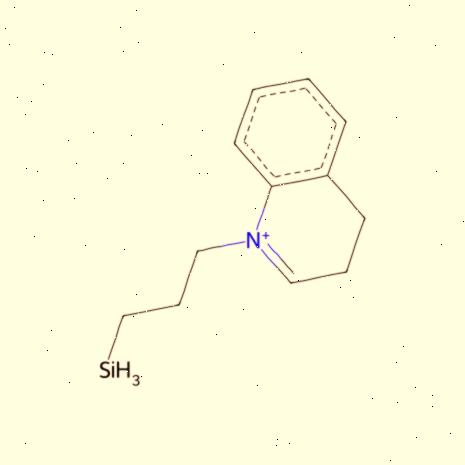 [SiH3]CCC[N+]1=CCCc2ccccc21